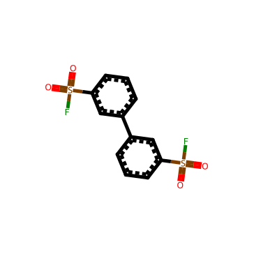 O=S(=O)(F)c1cccc(-c2cccc(S(=O)(=O)F)c2)c1